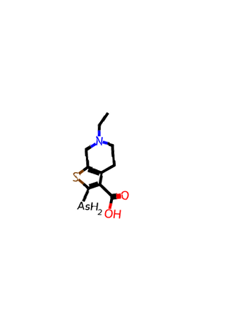 CCN1CCc2c(sc([AsH2])c2C(=O)O)C1